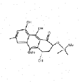 COc1c2c(c(O)c3c(O)cc(C)cc13)C(=O)C(O[Si](C)(C)C(C)(C)C)C[C@@H]2O